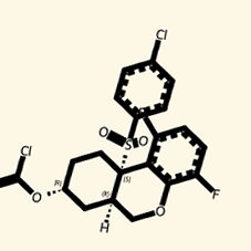 O=C(Cl)O[C@@H]1CC[C@@]2(S(=O)(=O)c3ccc(Cl)cc3)c3c(F)ccc(F)c3OC[C@H]2C1